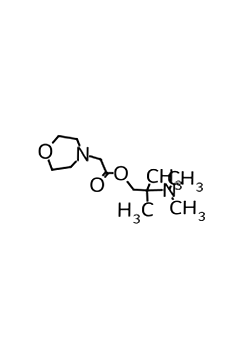 CN(C)C(C)(C)COC(=O)CN1CCOCC1